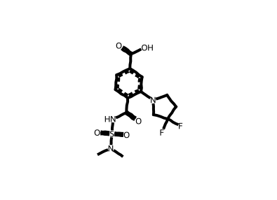 CN(C)S(=O)(=O)NC(=O)c1ccc(C(=O)O)cc1N1CCC(F)(F)C1